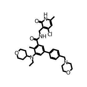 CCN(c1cc(-c2ccc(CN3CCOCC3)cc2)cc(C(=O)NCc2c(Cl)cc(C)[nH]c2=O)c1C)C1CCOCC1